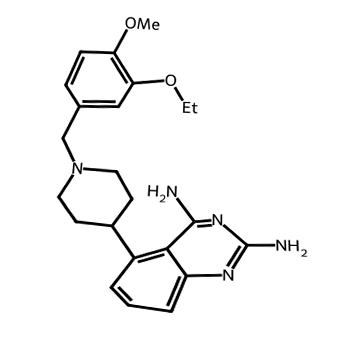 CCOc1cc(CN2CCC(c3cccc4nc(N)nc(N)c34)CC2)ccc1OC